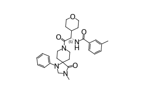 Cc1cccc(C(=O)N[C@H](C(=O)N2CCC3(CC2)C(=O)N(C)CN3c2ccccc2)C2CCOCC2)c1